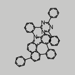 c1ccc(-c2nc(-c3ccccc3)nc(-c3ccccc3-n3c4cccc5c4c4c6c(ccc(-c7ccccc7)c6ccc43)-c3ccccc3-5)n2)cc1